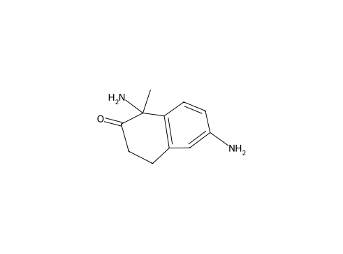 CC1(N)C(=O)CCc2cc(N)ccc21